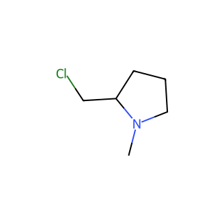 CN1CCCC1CCl